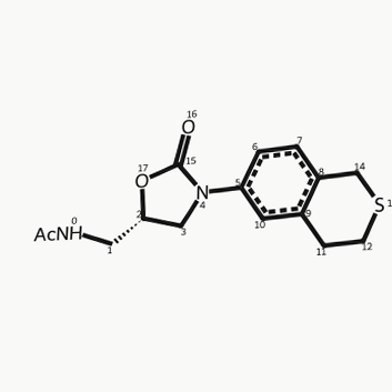 CC(=O)NC[C@H]1CN(c2ccc3c(c2)CCSC3)C(=O)O1